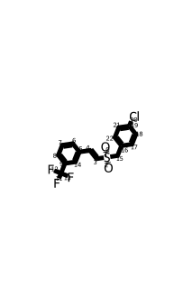 O=S(=O)(C=Cc1cccc(C(F)(F)F)c1)Cc1ccc(Cl)cc1